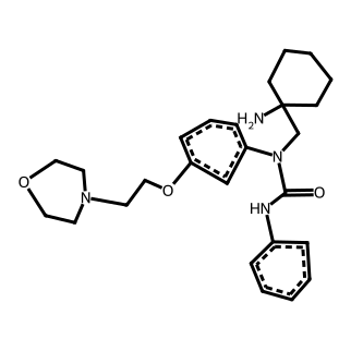 NC1(CN(C(=O)Nc2ccccc2)c2cccc(OCCN3CCOCC3)c2)CCCCC1